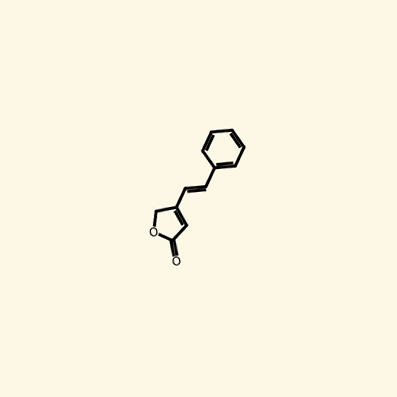 O=C1C=C(/C=C/c2ccccc2)CO1